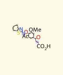 COc1cc(C(=O)/C=C/C(=O)O)ccc1ON(C(C)=O)c1nc2ccccc2s1